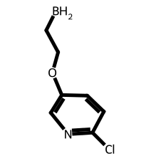 BCCOc1ccc(Cl)nc1